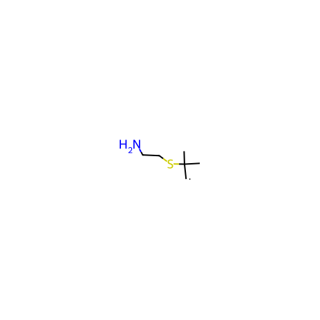 [CH2]C(C)(C)SCCN